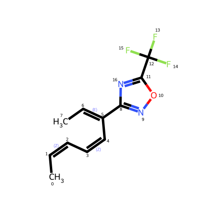 C\C=C/C=C\C(=C/C)c1noc(C(F)(F)F)n1